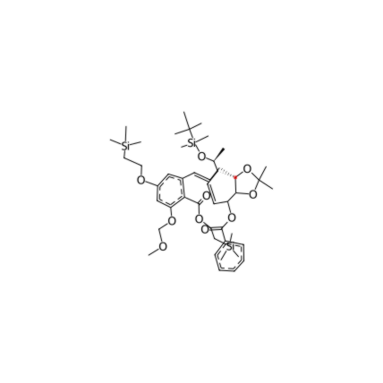 COCOc1cc(OCC[Si](C)(C)C)cc(/C=C/C[C@@H]2OC(C)(C)OC2C(/C=C\[C@@H](C)[C@H](C)O[Si](C)(C)C(C)(C)C)OC(=O)c2ccccc2)c1C(=O)OCC[Si](C)(C)C